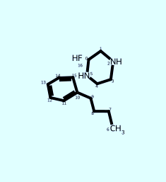 C1CNCCN1.CCCCc1ccccc1.F